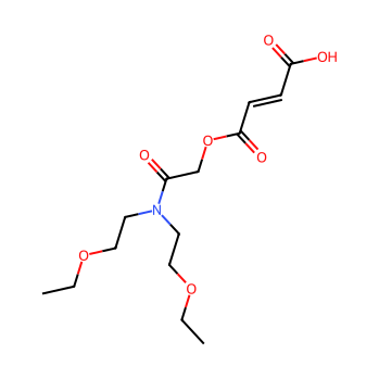 CCOCCN(CCOCC)C(=O)COC(=O)/C=C/C(=O)O